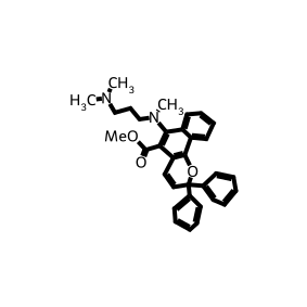 COC(=O)c1c2c(c3ccccc3c1N(C)CCCN(C)C)OC(c1ccccc1)(c1ccccc1)C=C2